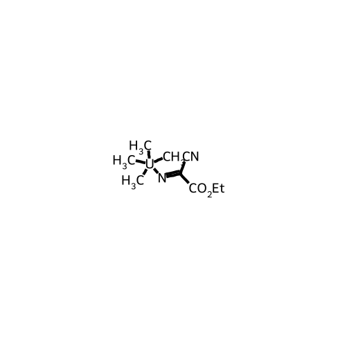 CCOC(=O)C(C#N)=[N][U]([CH3])([CH3])([CH3])[CH3]